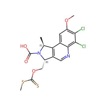 COc1cc2c3c(cnc2c(Cl)c1Cl)[C@H](COC(=S)SC)N(C(=O)O)[C@H]3C